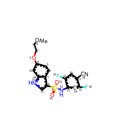 COCCOc1ccc2c(S(=O)(=O)Nc3cc(F)c(C#N)cc3F)c[nH]c2c1